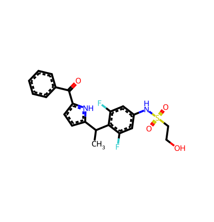 CC(c1ccc(C(=O)c2ccccc2)[nH]1)c1c(F)cc(NS(=O)(=O)CCO)cc1F